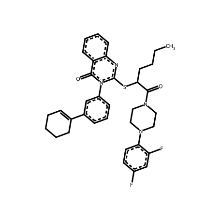 CCCCC(Sc1nc2ccccc2c(=O)n1-c1cccc(C2=CCCCC2)c1)C(=O)N1CCN(c2ccc(F)cc2F)CC1